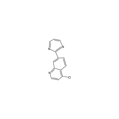 Clc1ccnc2cc(-c3ncccn3)ccc12